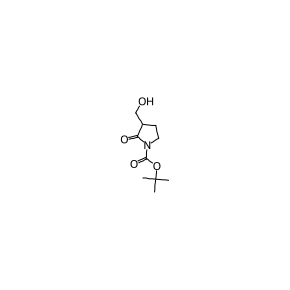 CC(C)(C)OC(=O)N1CCC(CO)C1=O